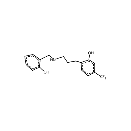 Oc1cc(C(F)(F)F)ccc1CCCNCc1ccccc1O